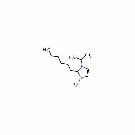 CCCCCCC1N(C)C=CN1C(C)C